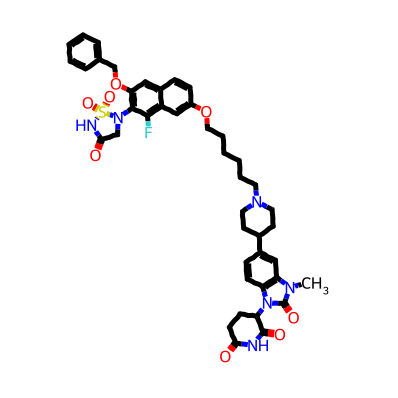 Cn1c(=O)n(C2CCC(=O)NC2=O)c2ccc(C3CCN(CCCCCCOc4ccc5cc(OCc6ccccc6)c(N6CC(=O)NS6(=O)=O)c(F)c5c4)CC3)cc21